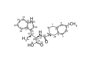 Cc1ccc2c(c1)CCN(C(=O)N[C@@H](C(=O)O)[C@@H](C)c1c[nH]c3ccccc13)C2